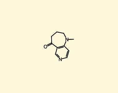 CN1CCCC(=O)c2cnccc21